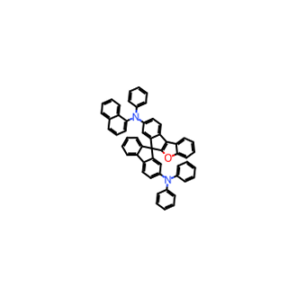 c1ccc(N(c2ccccc2)c2ccc3c(c2)C2(c4ccccc4-3)c3cc(N(c4ccccc4)c4cccc5ccccc45)ccc3-c3c2oc2ccccc32)cc1